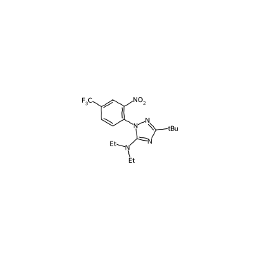 CCN(CC)c1nc(C(C)(C)C)nn1-c1ccc(C(F)(F)F)cc1[N+](=O)[O-]